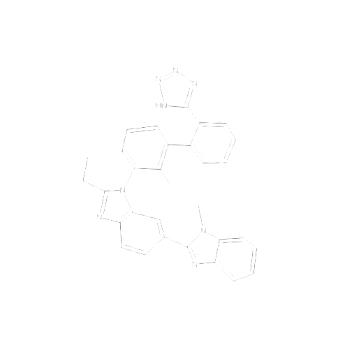 CCc1nc2ccc(-c3nc4ccccc4n3C)cc2n1-c1cccc(-c2ccccc2-c2nnn[nH]2)c1C